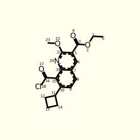 CCOC(=O)c1cc2ccc(C3CCC3)c(C(=O)Cl)c2nc1OC